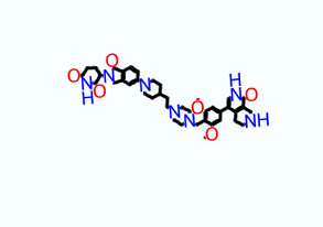 COc1cc(-c2c[nH]c(=O)c3c2CCNC3)cc(OC)c1CN1CCN(CCC2CCN(c3ccc4c(c3)CN(C3CCC(=O)NC3=O)C4=O)CC2)CC1